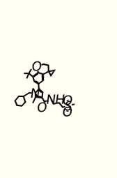 Cc1c(C(=O)NCCCS(C)(=O)=O)cc(-c2cc(C(C)(C)C)c3c(c2)C2(CCO3)CC2)n1CC1CCCCC1